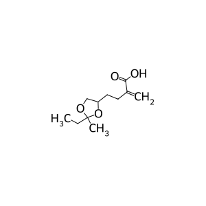 C=C(CCC1COC(C)(CC)O1)C(=O)O